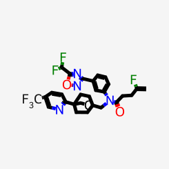 C=C(F)CCC(=O)N(CC12CCC(c3ccc(C(F)(F)F)cn3)(CC1)CC2)c1cccc(-c2noc(C(F)F)n2)c1